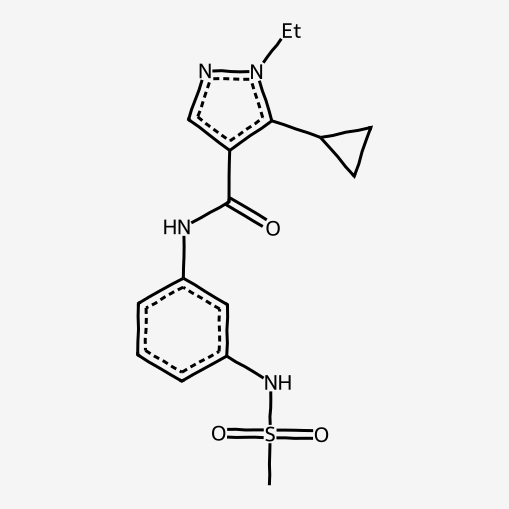 CCn1ncc(C(=O)Nc2cccc(NS(C)(=O)=O)c2)c1C1CC1